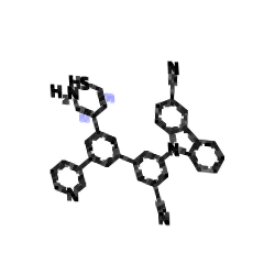 N#Cc1cc(-c2cc(C(/C=C\S)=C/N)cc(-c3cccnc3)c2)cc(-n2c3ccccc3c3cc(C#N)ccc32)c1